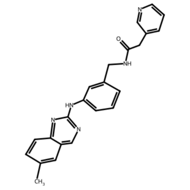 Cc1ccc2nc(Nc3cccc(CNC(=O)Cc4cccnc4)c3)ncc2c1